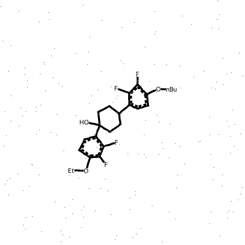 CCCCOc1ccc(C2CCC(O)(c3ccc(OCC)c(F)c3F)CC2)c(F)c1F